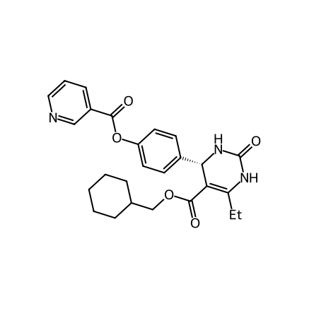 CCC1=C(C(=O)OCC2CCCCC2)[C@H](c2ccc(OC(=O)c3cccnc3)cc2)NC(=O)N1